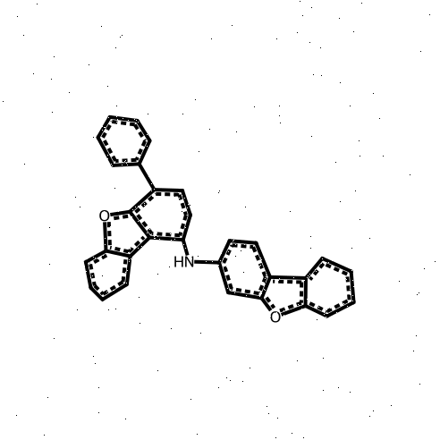 c1ccc(-c2ccc(Nc3ccc4c(c3)oc3ccccc34)c3c2oc2ccccc23)cc1